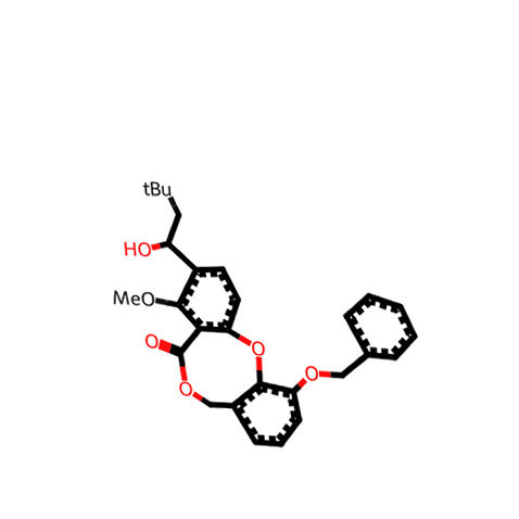 COc1c(C(O)CC(C)(C)C)ccc2c1C(=O)OCc1cccc(OCc3ccccc3)c1O2